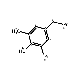 Cc1cc(CC(C)C)cc(C(C)C)c1O